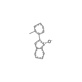 Cc1ccccc1-c1cc2ccccc2[s+]1[O-]